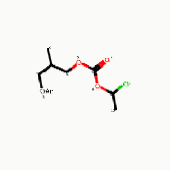 [CH2]C(COC(C)=O)COC(=O)OC(C)Cl